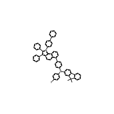 CC1(C)c2ccccc2-c2ccc(N(c3ccc(F)cc3)c3ccc(-c4cccc5c4ccc4c(-c6ccccc6)c(-c6ccccc6)n(-c6ccc(-c7ccccc7)cc6)c45)cc3)cc21